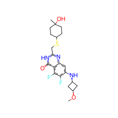 CO[C@H]1C[C@@H](Nc2cc3nc(CSC4CCC(C)(O)CC4)[nH]c(=O)c3c(F)c2F)C1